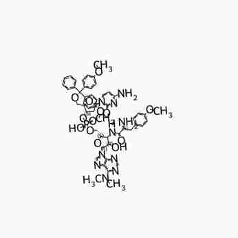 COc1ccc(C[C@H](N)C(=O)NC2[C@@H](O)[C@H](n3cnc4c(N(C)C)ncnc43)O[C@@H]2COP(=O)(O)O[C@H]2C[C@H](n3ccc(N)nc3=O)OC2COC(c2ccccc2)(c2ccc(OC)cc2)c2ccc(OC)cc2)cc1